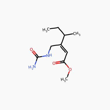 CCC(C)C(=CC(=O)OC)CNC(N)=O